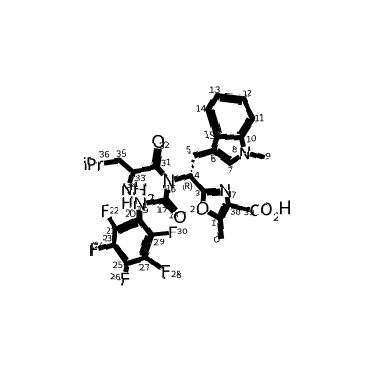 Cc1oc([C@@H](Cc2cn(C)c3ccccc23)N(C(=O)Nc2c(F)c(F)c(F)c(F)c2F)C(=O)C(N)CC(C)C)nc1C(=O)O